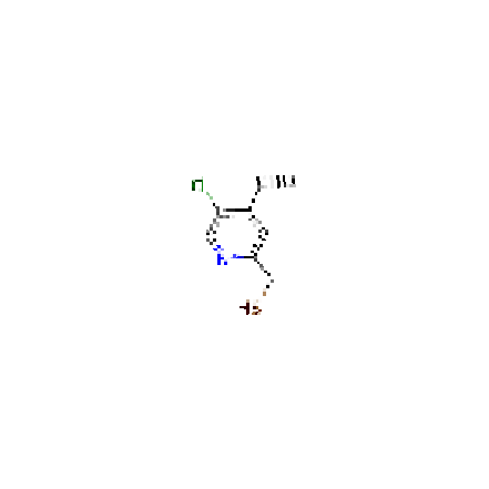 O=Cc1cc(CS)ncc1Cl